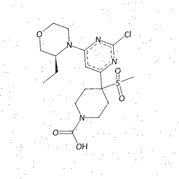 CC[C@H]1COCCN1c1cc(C2(S(C)(=O)=O)CCN(C(=O)O)CC2)nc(Cl)n1